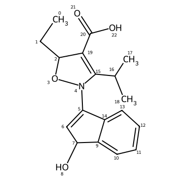 CCC1ON(C2=CC(O)c3ccccc32)C(C(C)C)=C1C(=O)O